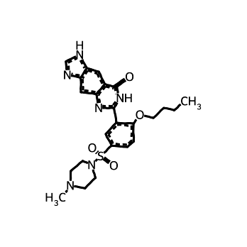 CCCCOc1ccc(S(=O)(=O)N2CCN(C)CC2)cc1-c1nc2cc3nc[nH]c3cc2c(=O)[nH]1